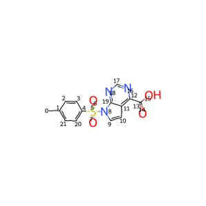 Cc1ccc(S(=O)(=O)n2ccc3c(C(=O)O)ncnc32)cc1